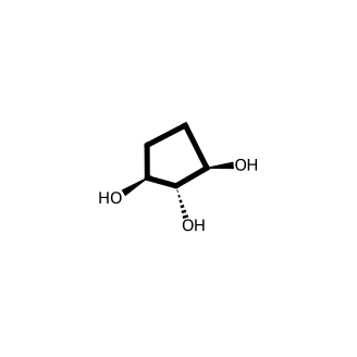 O[C@H]1[C@H](O)CC[C@@H]1O